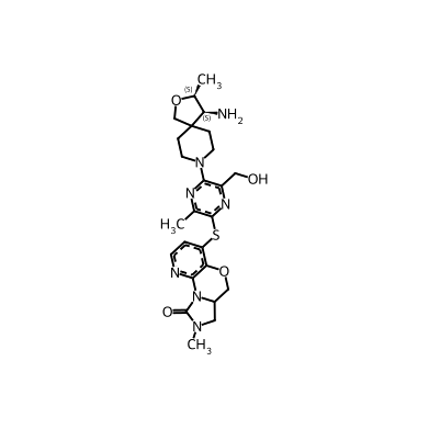 Cc1nc(N2CCC3(CC2)CO[C@@H](C)[C@H]3N)c(CO)nc1Sc1ccnc2c1OCC1CN(C)C(=O)N21